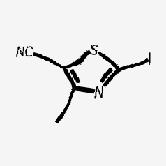 Cc1nc(I)sc1C#N